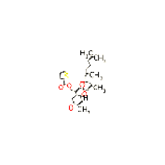 CC(C)=CCC/C(C)=C/[C@@H]1CC(C)=C[C@]2(C=C(COC(=O)c3cccs3)C3CC(=O)C(C)=C[C@H]3O2)O1